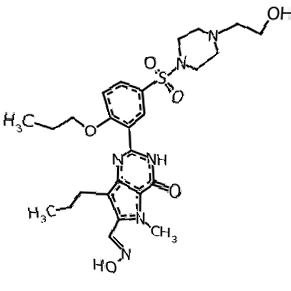 CCCOc1ccc(S(=O)(=O)N2CCN(CCO)CC2)cc1-c1nc2c(CCC)c(C=NO)n(C)c2c(=O)[nH]1